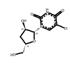 CCc1cn([C@@H]2O[C@H](CO)C[C@H]2O)c(=O)[nH]c1=O